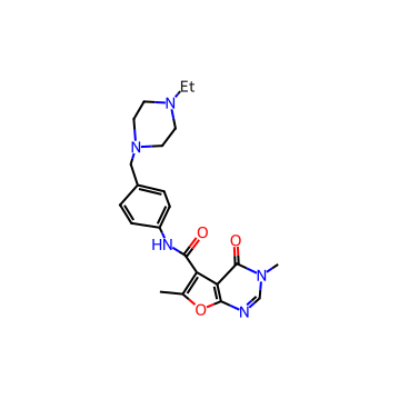 CCN1CCN(Cc2ccc(NC(=O)c3c(C)oc4ncn(C)c(=O)c34)cc2)CC1